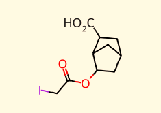 O=C(CI)OC1CC2CC(C(=O)O)C1C2